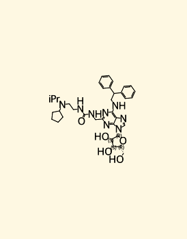 CC(C)N(CCNC(=O)NCc1nc(NCC(c2ccccc2)c2ccccc2)c2ncn([C@@H]3O[C@H](CO)[C@@H](O)[C@@H]3O)c2n1)C1CCCC1